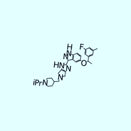 Cc1cc(F)cc(C(C)Oc2ccc3[nH]nc(-c4nc5c([nH]4)CN(CC4CCN(C(C)C)CC4)C5)c3c2)c1